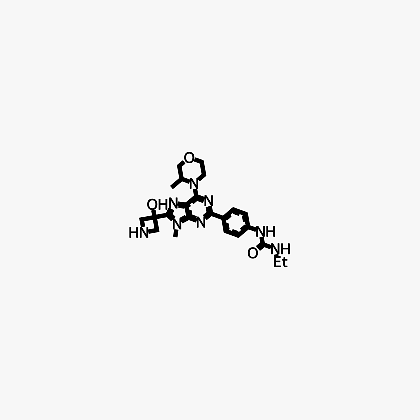 CCNC(=O)Nc1ccc(-c2nc(N3CCOCC3C)c3nc(C4(O)CNC4)n(C)c3n2)cc1